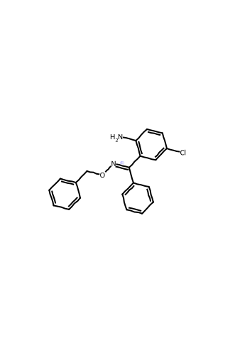 Nc1ccc(Cl)cc1/C(=N/OCc1ccccc1)c1ccccc1